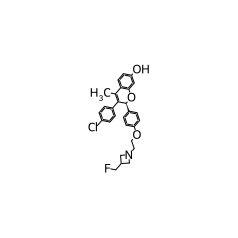 CC1=C(c2ccc(Cl)cc2)[C@H](c2ccc(OCCN3CC(CF)C3)cc2)Oc2cc(O)ccc21